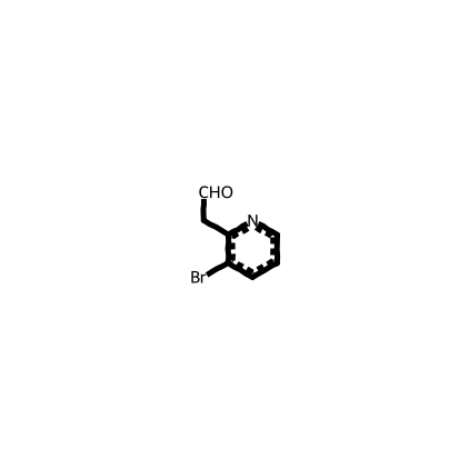 O=CCc1ncccc1Br